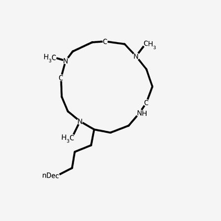 CCCCCCCCCCCCCC1CCNCCCN(C)CCCCN(C)CCCN1C